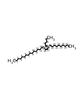 CCCCCCCCCCCCCCCn1cc[n+](CCCCCCCCCC)c1CCCC